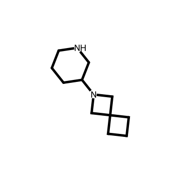 C1CNCC(N2CC3(CCC3)C2)C1